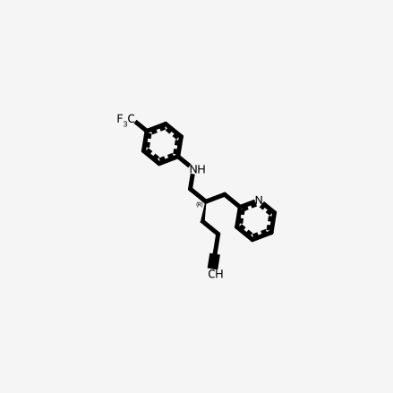 C#CCC[C@@H](CNc1ccc(C(F)(F)F)cc1)Cc1ccccn1